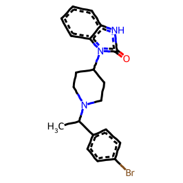 CC(c1ccc(Br)cc1)N1CCC(n2c(=O)[nH]c3ccccc32)CC1